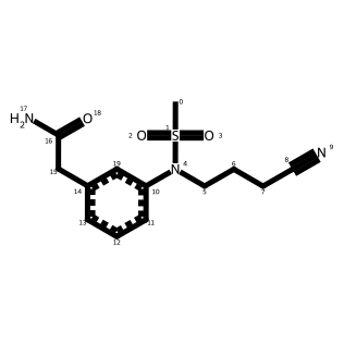 CS(=O)(=O)N(CCCC#N)c1cccc(CC(N)=O)c1